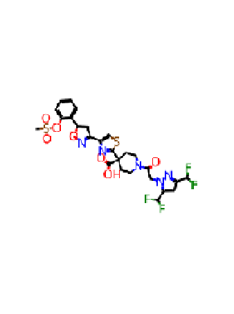 CS(=O)(=O)Oc1ccccc1C1CC(c2csc(C3(C(=O)O)CCN(C(=O)Cn4nc(C(F)F)cc4C(F)F)CC3)n2)=NO1